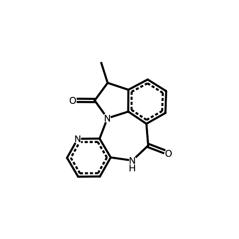 CC1C(=O)N2c3ncccc3NC(=O)c3cccc1c32